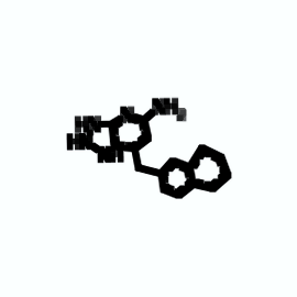 Nc1cc(Cc2ccc3ccccc3c2)c2c(n1)NNN2